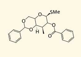 CS[C@@H]1OC2COC(c3ccccc3)O[C@@H]2[C@H](C)C1OC(=O)c1ccccc1